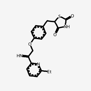 CCc1cccc(C(=N)COc2ccc(CC3SC(=O)NC3=O)cc2)n1